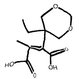 CCC1(C(C(=O)O)=C(C)C(=O)O)COCOC1